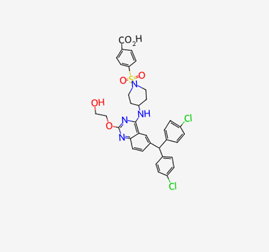 O=C(O)c1ccc(S(=O)(=O)N2CCC(Nc3nc(OCCO)nc4ccc(C(c5ccc(Cl)cc5)c5ccc(Cl)cc5)cc34)CC2)cc1